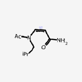 CC(=O)N(/C=C\C(N)=O)CC(C)C